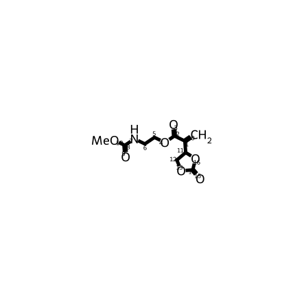 C=C(C(=O)OCCNC(=O)OC)C1COC(=O)O1